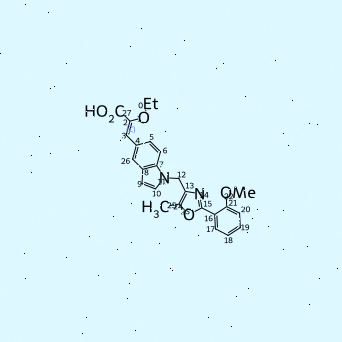 CCO/C(=C\c1ccc2c(ccn2Cc2nc(-c3ccccc3OC)oc2C)c1)C(=O)O